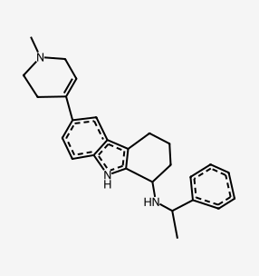 CC(NC1CCCc2c1[nH]c1ccc(C3=CCN(C)CC3)cc21)c1ccccc1